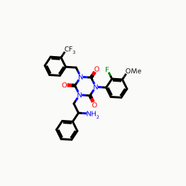 COc1cccc(-n2c(=O)n(Cc3ccccc3C(F)(F)F)c(=O)n(CC(N)c3ccccc3)c2=O)c1F